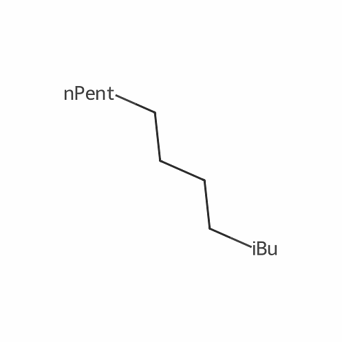 [CH2]CCCCCCCCC(C)C[CH2]